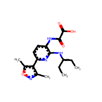 CCC(CC)Nc1nc(-c2c(C)noc2C)ccc1NC(=O)C(=O)O